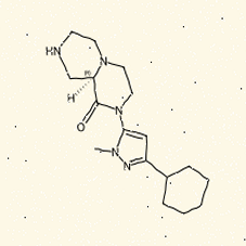 Cn1nc(C2CCCCC2)cc1N1CCN2CCNC[C@@H]2C1=O